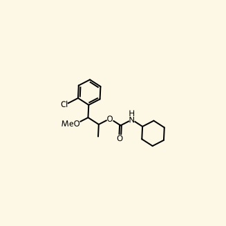 COC(c1ccccc1Cl)C(C)OC(=O)NC1CCCCC1